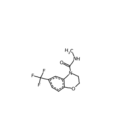 CNC(=O)N1CCOc2ccc(C(F)(F)F)cc21